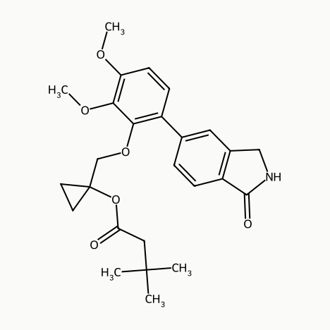 COc1ccc(-c2ccc3c(c2)CNC3=O)c(OCC2(OC(=O)CC(C)(C)C)CC2)c1OC